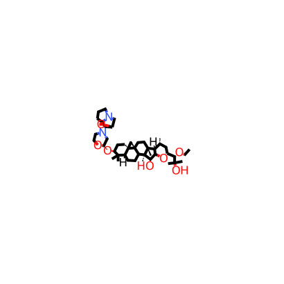 CCO[C@@H](C1C[C@@H](C)[C@H]2C(O1)[C@H](O)[C@@]1(C)C3CC[C@H]4C(C)(C)[C@@H](O[C@H]5CN(C6C7CN8CCC(O7)C68)CCO5)CC[C@@]45C[C@@]35CC[C@]21C)C(C)(C)O